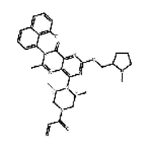 C=CC(=O)N1C[C@H](C)N(c2nc(OCC3CCCN3C)nc3c(=O)n(-c4cccc5cccc(Cl)c45)c(C)nc23)[C@@H](C)C1